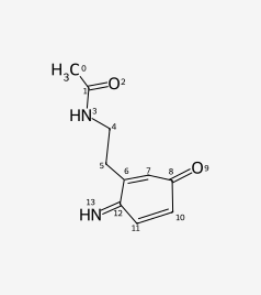 CC(=O)NCCC1=CC(=O)C=CC1=N